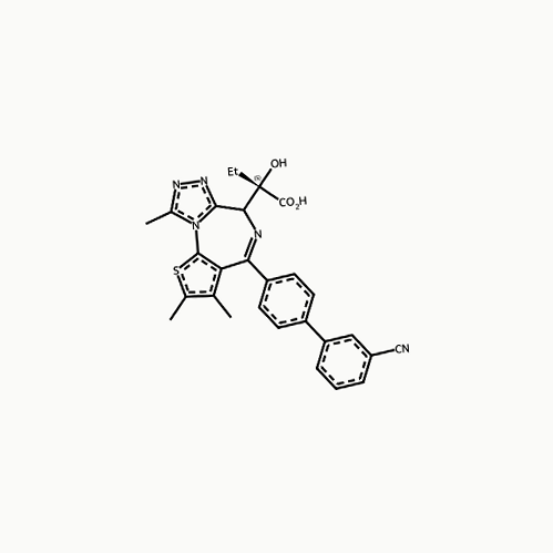 CC[C@@](O)(C(=O)O)C1N=C(c2ccc(-c3cccc(C#N)c3)cc2)c2c(sc(C)c2C)-n2c(C)nnc21